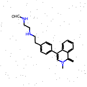 C=C1c2ccccc2C(c2ccc(CCNCCNC=O)cc2)=CN1C